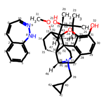 C1=Cc2ccccc2NN=C1.CO[C@@]12CC[C@@]3(C[C@@H]1[C@](C)(O)C(C)(C)C)[C@H]1Cc4ccc(O)c5c4[C@@]3(CCN1CC1CC1)[C@H]2O5